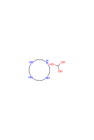 C1CNCCNCCNCCN1.OC(O)O